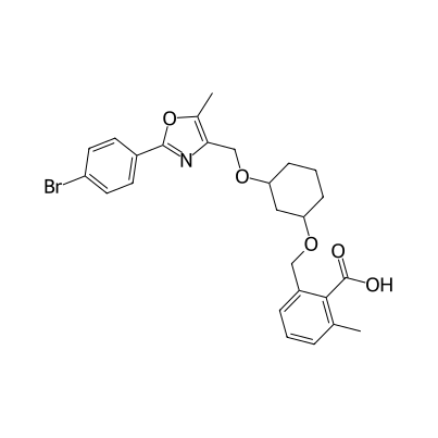 Cc1cccc(COC2CCCC(OCc3nc(-c4ccc(Br)cc4)oc3C)C2)c1C(=O)O